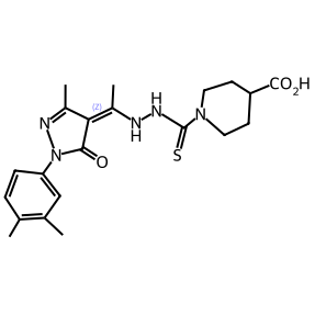 CC1=NN(c2ccc(C)c(C)c2)C(=O)/C1=C(/C)NNC(=S)N1CCC(C(=O)O)CC1